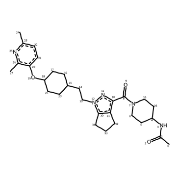 CC(=O)NC1CCN(C(=O)c2nn(CCC3CCC(Oc4ccc(C)nc4C)CC3)c3c2CCC3)CC1